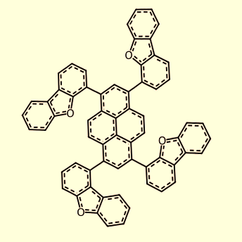 c1ccc2c(c1)oc1c(-c3cc(-c4cccc5c4oc4ccccc45)c4ccc5c(-c6cccc7oc8ccccc8c67)cc(-c6cccc7c6oc6ccccc67)c6ccc3c4c65)cccc12